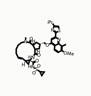 COc1ccc2c(OC[C@@H]3C[C@H]4C(=O)N[C@]5(C(=O)NS(=O)(=O)C6CC6)C[C@H]5/C=C/CCCCN(C)C(=O)[C@@H]4C3)cc(-c3nc(C(C)C)cs3)nc2c1C